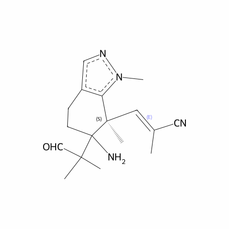 C/C(C#N)=C\[C@]1(C)c2c(cnn2C)CCC1(N)C(C)(C)C=O